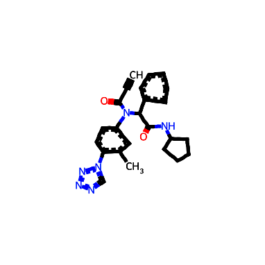 C#CC(=O)N(c1ccc(-n2cnnn2)c(C)c1)C(C(=O)NC1CCCC1)c1ccccc1